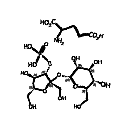 NC(CCC(=O)O)C(=O)O.O=P(O)(O)O[C@H]1[C@H](O)[C@@H](CO)O[C@@]1(CO)O[C@H]1O[C@H](CO)[C@@H](O)[C@H](O)[C@H]1O